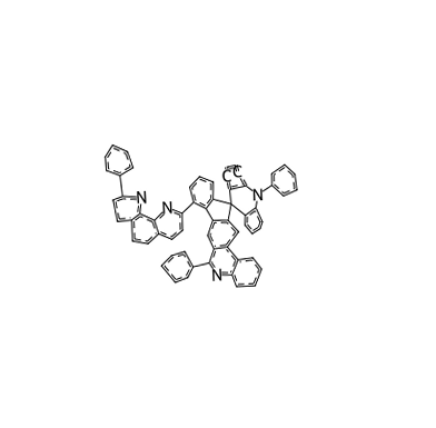 c1ccc(-c2ccc3ccc4ccc(-c5cccc6c5-c5cc7c(-c8ccccc8)nc8ccccc8c7cc5C65c6ccccc6N(c6ccccc6)c6ccccc65)nc4c3n2)cc1